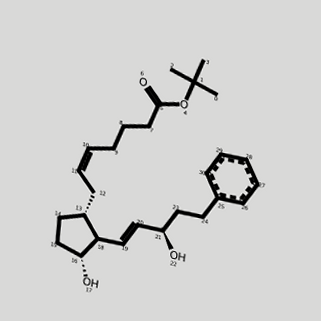 CC(C)(C)OC(=O)CCC/C=C\C[C@H]1CC[C@@H](O)C1/C=C/[C@H](O)CCc1ccccc1